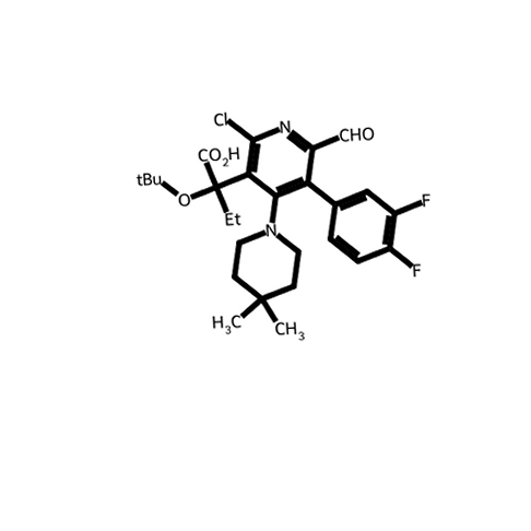 CCC(OC(C)(C)C)(C(=O)O)c1c(Cl)nc(C=O)c(-c2ccc(F)c(F)c2)c1N1CCC(C)(C)CC1